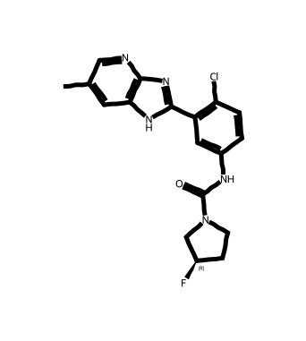 Cc1cnc2nc(-c3cc(NC(=O)N4CC[C@@H](F)C4)ccc3Cl)[nH]c2c1